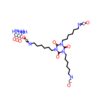 N=C=O.N=C=O.N=C=O.O=C=NCCCCCCn1c(=O)n(CCCCCCN=C=O)c(=O)n(CCCCCCN=C=O)c1=O